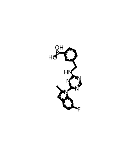 Cc1cc2ccc(F)cc2n1-c1ncnc(NCc2cccc(B(O)O)c2)n1